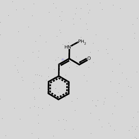 O=C/C(=C\c1ccccc1)NP